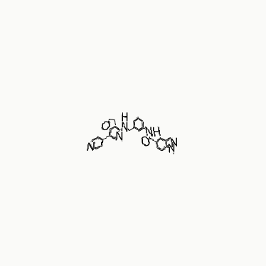 Cn1ncc2cc(C(=O)Nc3cccc(CNc4ncc(-c5ccncc5)c5c4CCO5)c3)ccc21